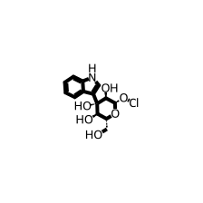 OC[C@H]1O[C@@H](OCl)[C@H](O)[C@](O)(c2c[nH]c3ccccc23)[C@@H]1O